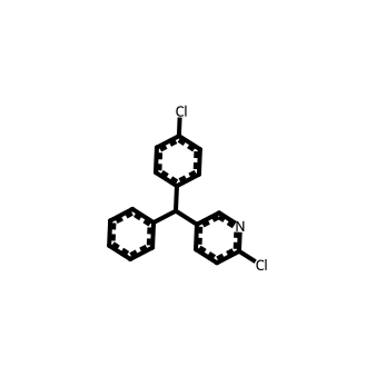 Clc1ccc(C(c2ccccc2)c2ccc(Cl)nc2)cc1